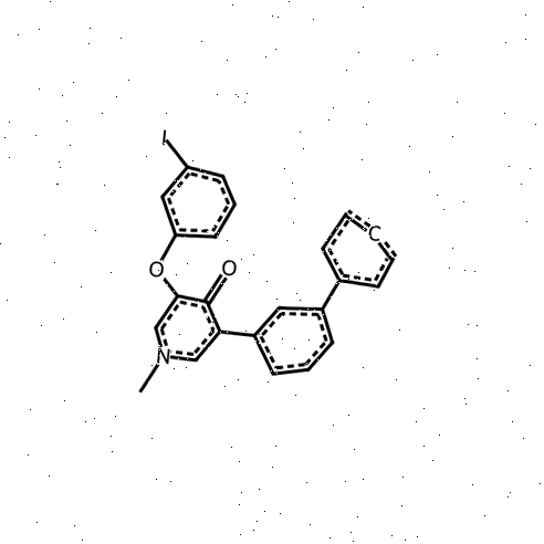 Cn1cc(Oc2cccc(I)c2)c(=O)c(-c2cccc(-c3ccccc3)c2)c1